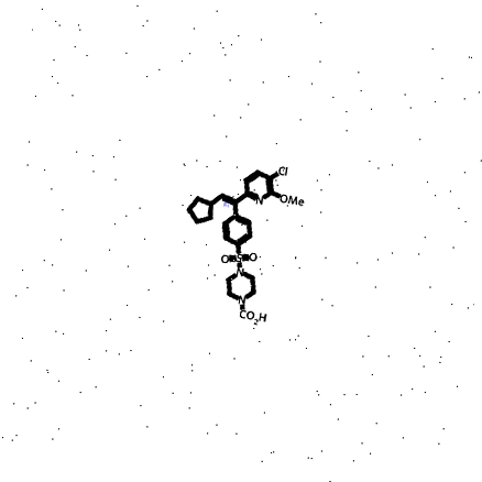 COc1nc(/C(=C/C2CCCC2)c2ccc(S(=O)(=O)N3CCN(C(=O)O)CC3)cc2)ccc1Cl